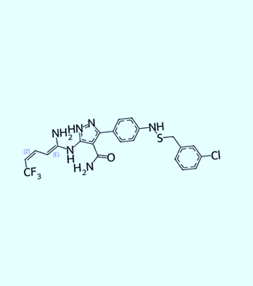 NC(=O)c1c(-c2ccc(NSCc3cccc(Cl)c3)cc2)n[nH]c1N/C(N)=C/C=C\C(F)(F)F